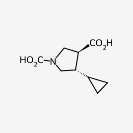 O=C(O)[C@@H]1CN(C(=O)O)C[C@H]1C1CC1